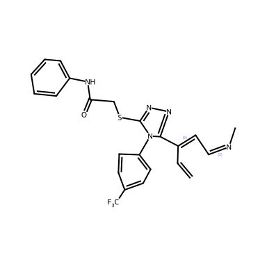 C=C/C(=C\C=N/C)c1nnc(SCC(=O)Nc2ccccc2)n1-c1ccc(C(F)(F)F)cc1